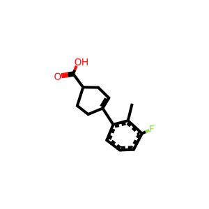 Cc1c(F)cccc1C1=CCC(C(=O)O)CC1